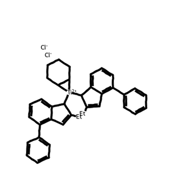 CCC1=Cc2c(-c3ccccc3)cccc2[CH]1[Ti+2]1([CH]2C(CC)=Cc3c(-c4ccccc4)cccc32)[CH]2CCCC[CH]21.[Cl-].[Cl-]